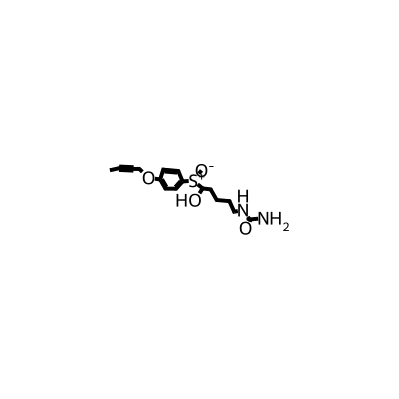 CC#CCOc1ccc([S+]([O-])C(O)CCCCNC(N)=O)cc1